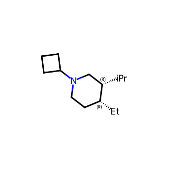 CC[C@@H]1CCN(C2CCC2)C[C@@H]1C(C)C